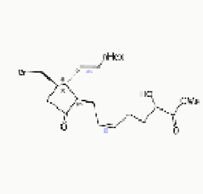 CCCCCC/C=C/[C@H]1[C@H](CBr)CC(=O)[C@@H]1C/C=C\CCC(O)C(=O)OC